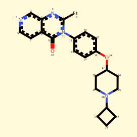 CCc1nc2cnccc2c(=O)n1-c1ccc(OC2CCN(C3CCC3)CC2)cc1